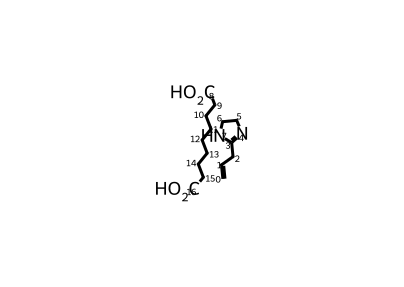 C=CCC1=NCCN1.O=C(O)CCCCCCCC(=O)O